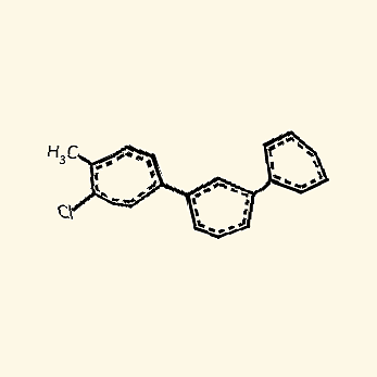 Cc1ccc(-c2cccc(-c3ccccc3)c2)cc1Cl